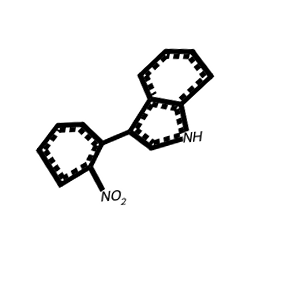 O=[N+]([O-])c1ccccc1-c1c[nH]c2ccccc12